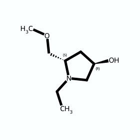 CCN1C[C@H](O)C[C@H]1COC